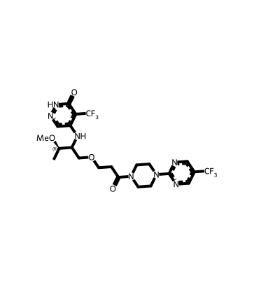 CO[C@H](C)C(COCCC(=O)N1CCN(c2ncc(C(F)(F)F)cn2)CC1)Nc1cn[nH]c(=O)c1C(F)(F)F